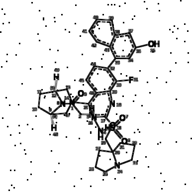 O=C(CNN[SH](=O)=O)N1[C@@H]2CC[C@H]1CN(c1nc(OCC34CCCN3CCC4)nc3c(F)c(-c4cc(O)cc5ccccc45)ccc13)C2